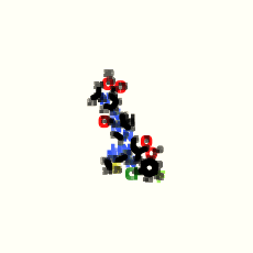 COC(=O)C1=C(CN2CCN3C(=O)N(C4C[C@@H](C(=O)OC)N(C(C)C)C4)C[C@@H]3C2)NC(c2nccs2)=N[C@H]1c1ccc(F)cc1Cl